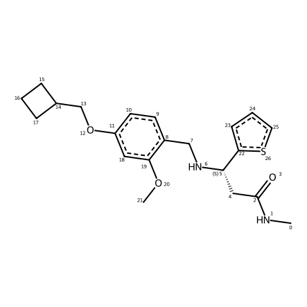 CNC(=O)C[C@H](NCc1ccc(OCC2CCC2)cc1OC)c1cccs1